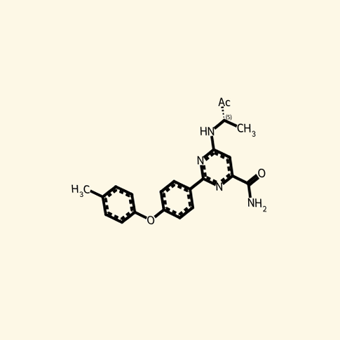 CC(=O)[C@H](C)Nc1cc(C(N)=O)nc(-c2ccc(Oc3ccc(C)cc3)cc2)n1